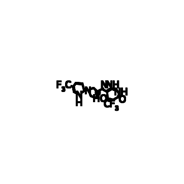 O=C1CC(O)(C(F)(F)F)c2c([C@H]3CCN(C4C=CC(C(F)(F)F)=CN4)C3)n[nH]c2N1